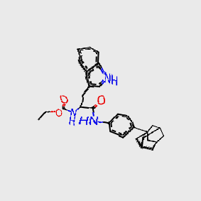 CCOC(=O)NC(Cc1c[nH]c2ccccc12)C(=O)Nc1ccc(C23CC4CC(CC(C4)C2)C3)cc1